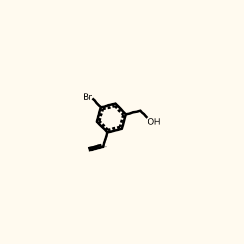 C=[C]c1cc(Br)cc(CO)c1